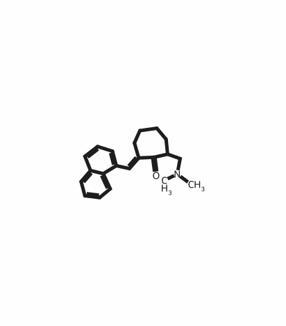 CN(C)CC1CCCCC(=Cc2cccc3ccccc23)C1=O